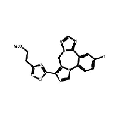 COCCc1noc(-c2ncn3c2Cn2ncnc2-c2cc(Cl)ccc2-3)n1